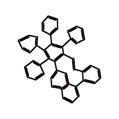 c1ccc(-c2ccccc2N=Nc2c(-c3ccccc3)c(-c3ccccc3)c(-c3ccccc3)c(-c3ccccc3)c2-c2ccccc2)cc1